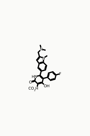 CN(C)Cc1cc2cc(-c3[nH]c(=O)c(C(=O)O)c(O)c3-c3ccc(F)cc3)ccc2n1C